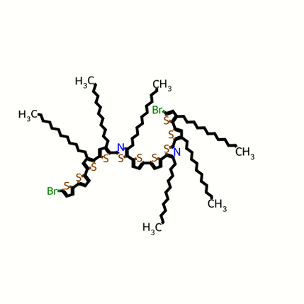 CCCCCCCCCCCCc1cc(Br)sc1-c1cc(CCCCCCCCCCCC)c(-c2nc(CCCCCCCCCCCC)c(-c3ccc(-c4ccc(-c5sc(-c6sc(-c7sc(-c8ccc(-c9ccc(Br)s9)s8)cc7CCCCCCCCCCCC)cc6CCCCCCCCCCCC)nc5CCCCCCCCCCCC)s4)s3)s2)s1